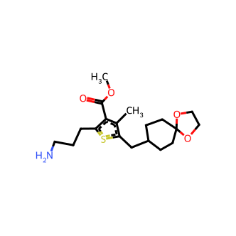 COC(=O)c1c(CCCN)sc(CC2CCC3(CC2)OCCO3)c1C